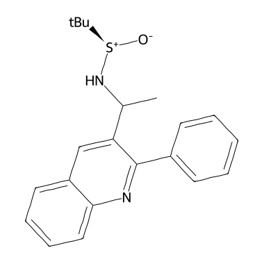 CC(N[S@+]([O-])C(C)(C)C)c1cc2ccccc2nc1-c1ccccc1